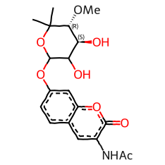 CO[C@@H]1[C@@H](O)C(O)C(Oc2ccc3cc(NC(C)=O)c(=O)oc3c2)OC1(C)C